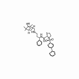 C[C@H]1[C@H](CNCCC(NC(=O)C2SCCN2S(=O)(=O)c2ccc(-c3ccccc3)cc2)c2ccccc2)C[C@@H]2C[C@@H]1C2(C)C